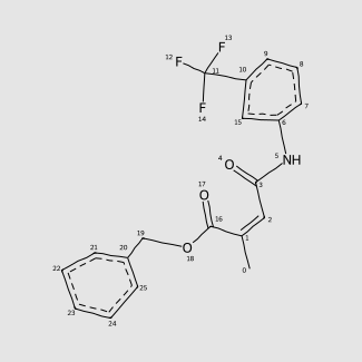 C/C(=C/C(=O)Nc1cccc(C(F)(F)F)c1)C(=O)OCc1ccccc1